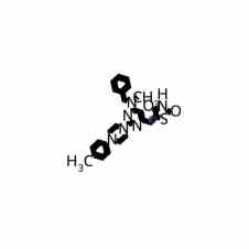 Cc1ccc(N2CCN(c3nc(/C=C4/SC(=O)NC4=O)cc(N(C)Cc4ccccc4)n3)CC2)cc1